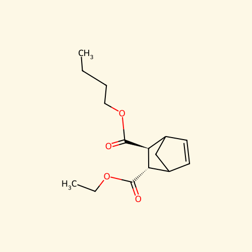 CCCCOC(=O)[C@H]1C2C=CC(C2)[C@@H]1C(=O)OCC